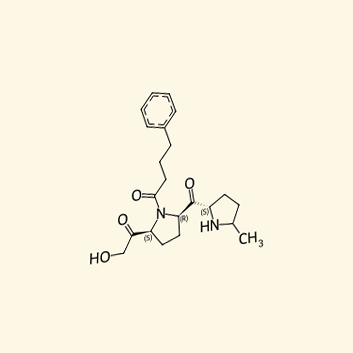 CC1CC[C@@H](C(=O)[C@H]2CC[C@@H](C(=O)CO)N2C(=O)CCCc2ccccc2)N1